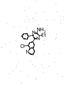 CCc1nc(-c2cc(Cl)c3ncccc3c2)c(-c2ccccc2)nc1N